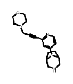 C(#Cc1cc(N2C3CCC2CNC3)ccn1)CN1CCOCC1